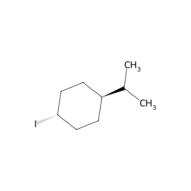 CC(C)[C@H]1CC[C@H](I)CC1